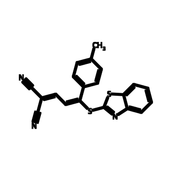 Cc1ccc(/C(=C\C=C(C#N)C#N)Sc2nc3ccccc3s2)cc1